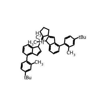 Cc1cc(C(C)(C)C)ccc1-c1cccc2c1C=C[CH]2[Hf]([CH3])([CH3])(=[C]1CCCC1)[CH]1C=Cc2c(-c3ccc(C(C)(C)C)cc3C)cccc21